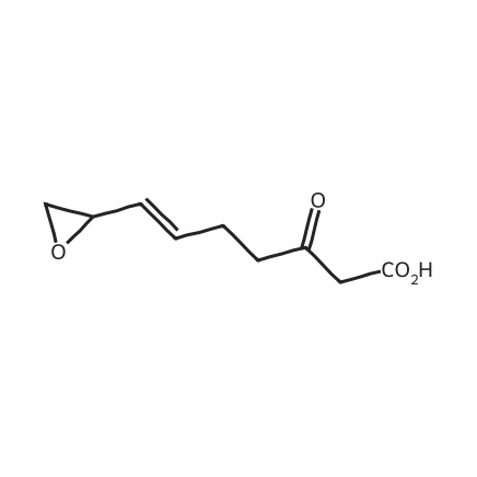 O=C(O)CC(=O)CCC=CC1CO1